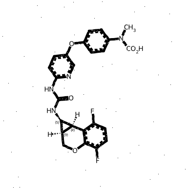 CN(C(=O)O)c1ccc(Oc2ccc(NC(=O)N[C@@H]3[C@@H]4COc5c(F)ccc(F)c5[C@@H]43)nc2)cc1